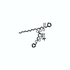 CCCCCCCCCCCCC[C@@H](CC(=O)NCc1ccccc1)OC(=O)[C@H](CCCC(=O)OCc1ccccc1)NC(=O)OC(C)(C)C